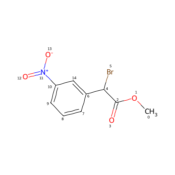 COC(=O)C(Br)c1cccc([N+](=O)[O-])c1